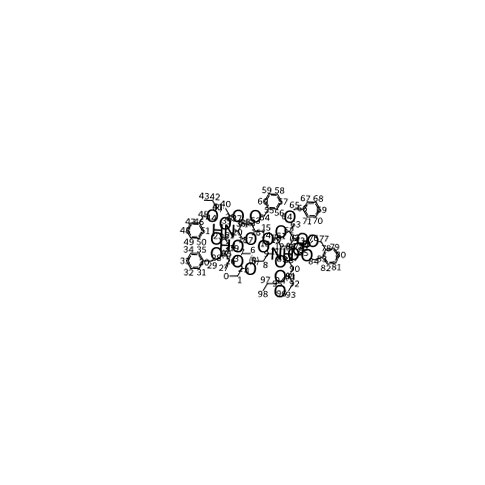 CCC(=O)O[C@H](CC)CC(=O)NC1[C@H](OCC2OC(O)C(NC(=O)C[C@@H](CC)OCc3ccccc3)[C@@H](OC(=O)C[C@@H](CC)OCc3ccccc3)[C@@H]2OCc2ccccc2)OC(COCc2ccccc2)[C@@H](OP2(=O)OCc3ccccc3CO2)[C@@H]1OC(=O)C[C@@H](CC)OC(=O)CC